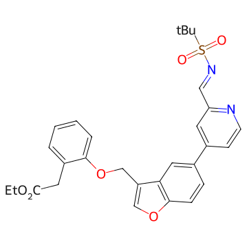 CCOC(=O)Cc1ccccc1OCc1coc2ccc(-c3ccnc(C=NS(=O)(=O)C(C)(C)C)c3)cc12